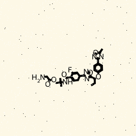 CCC(Oc1ccc(-c2noc(C)n2)cc1)c1nc(C2C=C(F)C(C(=O)NC(C)(C)COC(=O)CN)=CC2)no1